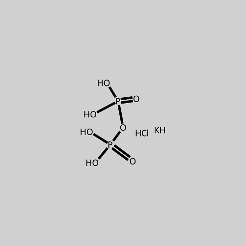 Cl.O=P(O)(O)OP(=O)(O)O.[KH]